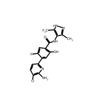 Cc1n[nH]c(C(F)(F)F)c1NC(=O)c1cc(F)c(-c2ccc(Cl)c(N)n2)cc1O